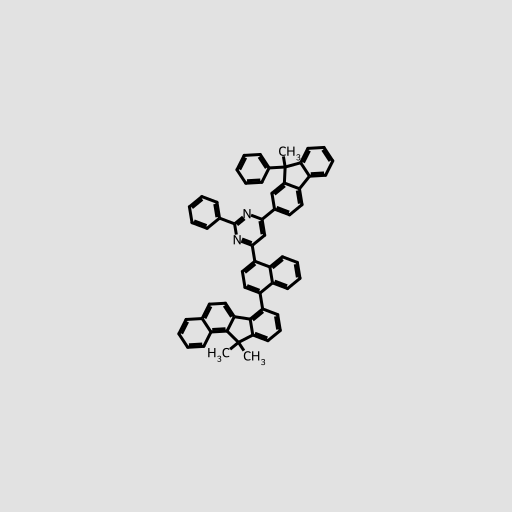 CC1(C)c2cccc(-c3ccc(-c4cc(-c5ccc6c(c5)C(C)(c5ccccc5)c5ccccc5-6)nc(-c5ccccc5)n4)c4ccccc34)c2-c2ccc3ccccc3c21